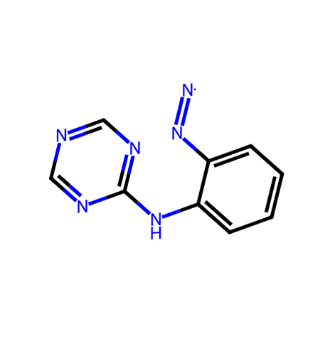 [N]=Nc1ccccc1Nc1ncncn1